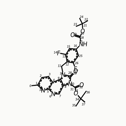 Cc1ccc2c(ncc3c2n(Cc2c(F)cc(NC(=O)OC(C)(C)C)cc2F)c(=O)n3C(=O)OC(C)(C)C)n1